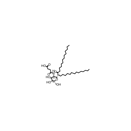 CCCCCCCCCCCCCCN(C(=O)CCCCCCCCCCCCC)[C@@H]1O[C@H](CO)[C@H](O)[C@H](O)[C@H]1NC(=O)CCC(=O)O